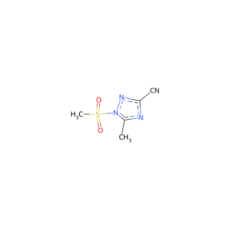 Cc1nc(C#N)nn1S(C)(=O)=O